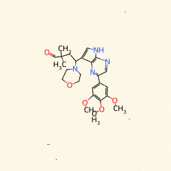 COc1cc(-c2cnc3[nH]cc(C(CC(C)(C)C=O)N4CCOCC4)c3n2)cc(OC)c1OC